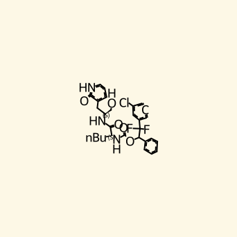 CCCC[C@H](NC(=O)OC(c1ccccc1)C(F)(F)c1cccc(Cl)c1)C(=O)N[C@H](CO)Cc1ccc[nH]c1=O